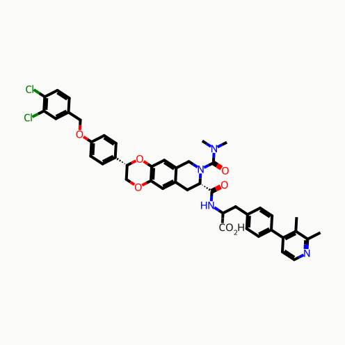 Cc1nccc(-c2ccc(CC(NC(=O)[C@@H]3Cc4cc5c(cc4CN3C(=O)N(C)C)O[C@@H](c3ccc(OCc4ccc(Cl)c(Cl)c4)cc3)CO5)C(=O)O)cc2)c1C